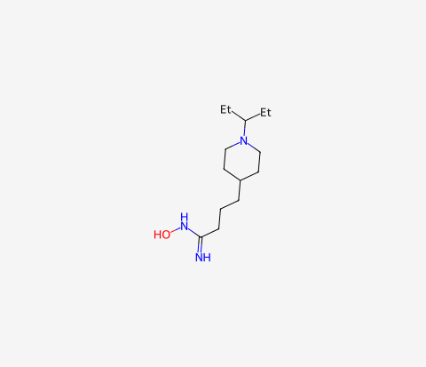 CCC(CC)N1CCC(CCCC(=N)NO)CC1